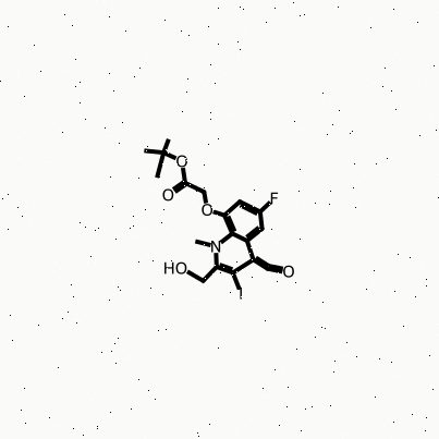 CN1C(CO)=C(I)C(=C=O)c2cc(F)cc(OCC(=O)OC(C)(C)C)c21